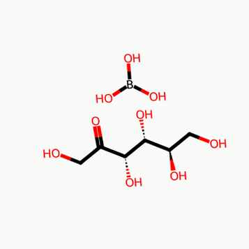 O=C(CO)[C@@H](O)[C@H](O)[C@H](O)CO.OB(O)O